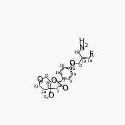 COC1(CS(=O)(=O)c2ccc(OC/C(=C/F)CN)cc2)CCOCC1